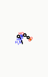 CC[C@@H](N)CNc1nc(-c2cc(-c3ccc(S(C)(=O)=O)cc3)ccc2O)nc2ccccc12